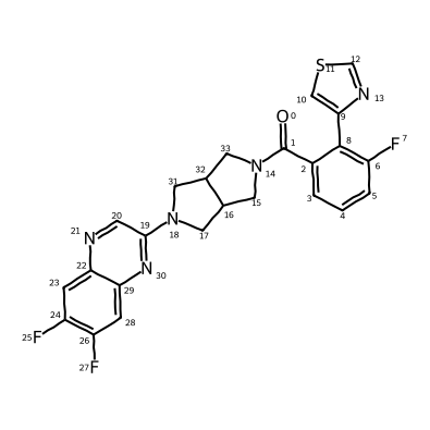 O=C(c1cccc(F)c1-c1cscn1)N1CC2CN(c3cnc4cc(F)c(F)cc4n3)CC2C1